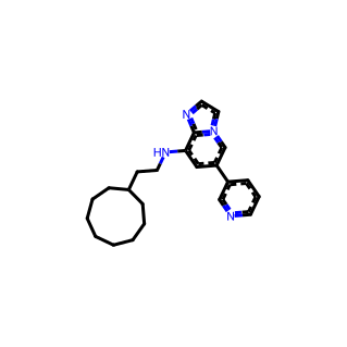 c1cncc(-c2cc(NCCC3CCCCCCCC3)c3nccn3c2)c1